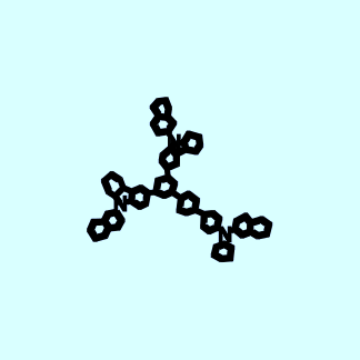 C1=CC2c3cc(-c4cc(-c5ccc(-c6ccc(N(c7ccccc7)c7ccc8ccccc8c7)cc6)cc5)cc(-c5ccc6c(c5)c5ccccc5n6-c5ccc6ccccc6c5)c4)ccc3N(c3ccc4ccccc4c3)C2C=C1